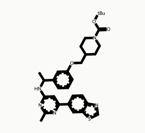 Cc1nc(NC(C)c2cccc(OCC3CCN(C(=O)OC(C)(C)C)CC3)c2)cc(-c2ccc3ncsc3c2)n1